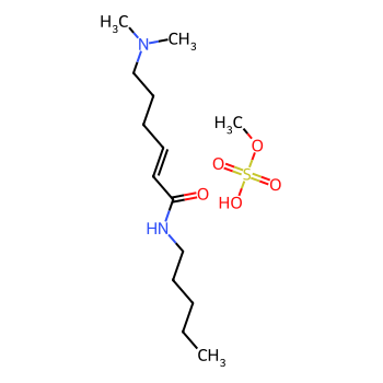 CCCCCNC(=O)C=CCCCN(C)C.COS(=O)(=O)O